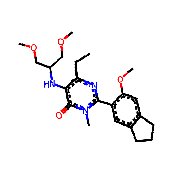 CCc1nc(-c2cc3c(cc2OC)CCC3)n(C)c(=O)c1NC(COC)COC